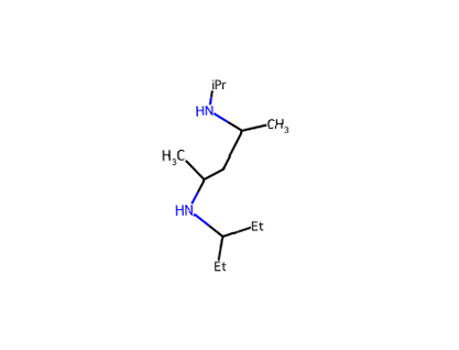 CCC(CC)NC(C)CC(C)NC(C)C